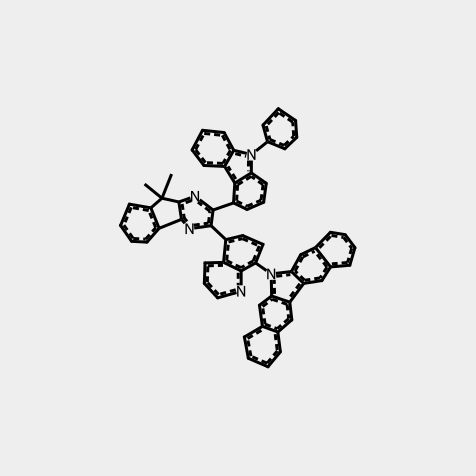 CC1(C)c2ccccc2-c2nc(-c3ccc(-n4c5cc6ccccc6cc5c5cc6ccccc6cc54)c4ncccc34)c(-c3cccc4c3c3ccccc3n4-c3ccccc3)nc21